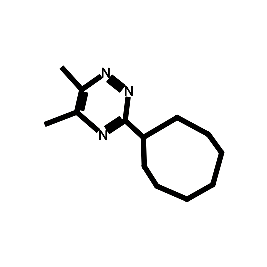 Cc1nnc(C2CCCCCCC2)nc1C